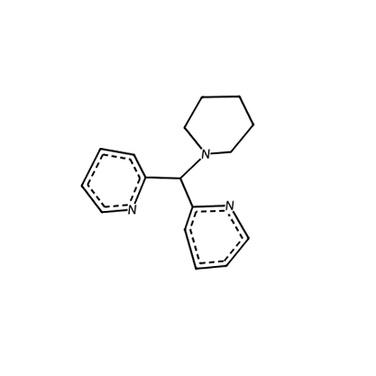 c1ccc(C(c2ccccn2)N2CCCCC2)nc1